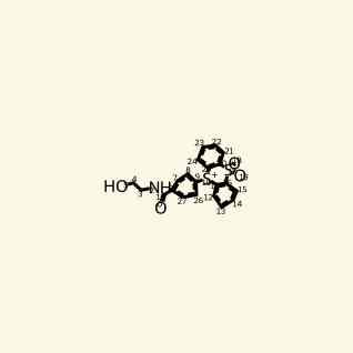 O=C(NCCO)c1ccc([S+]2c3ccccc3S(=O)(=O)c3ccccc32)cc1